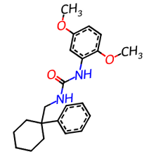 COc1ccc(OC)c(NC(=O)NCC2(c3ccccc3)CCCCC2)c1